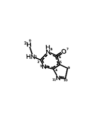 [2H]Nc1nc2c(c(=O)[nH]1)CC=N2